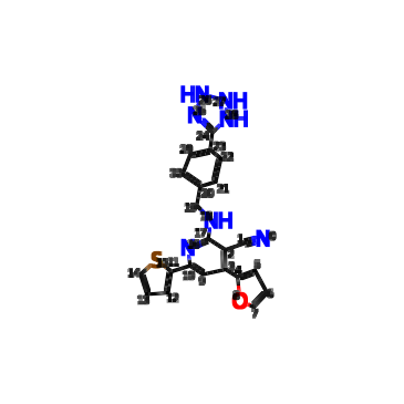 N#Cc1c(-c2ccco2)cc(-c2cccs2)nc1NCc1ccc(C2=NNNN2)cc1